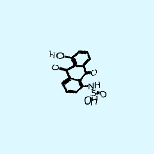 O=C1c2cccc(N[SH](=O)=O)c2C(=O)c2cccc(O)c21